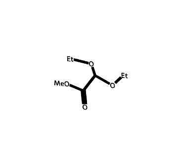 CCOC(OCC)C(=O)OC